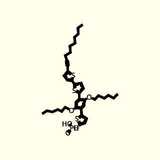 CCCCCCCCC#Cc1ccc(-c2ccc(-c3cc(OCCCCCC)c(-c4ccc(O[PH](=O)O)s4)cc3OCCCCCC)s2)s1